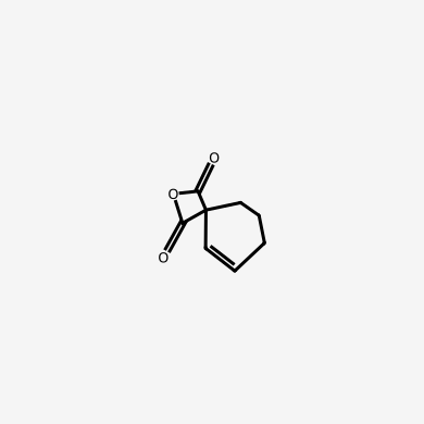 O=C1OC(=O)C12C=CCCC2